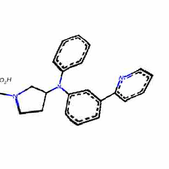 O=C(O)CN1CCC(N(c2ccccc2)c2cccc(-c3ccccn3)c2)C1